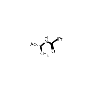 CC(=O)[C@@H](C)NC(=O)C(C)C